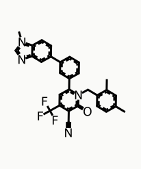 Cc1ccc(Cn2c(-c3cccc(-c4ccc5c(c4)ncn5C)c3)cc(C(F)(F)F)c(C#N)c2=O)c(C)c1